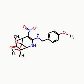 COc1ccc(CNC2=C([N+](=O)[O-])C3CC(=O)C(C)C(N2)C3(OC)OC)cc1